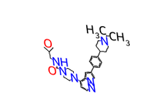 CC(C)N1CCC(c2ccc(-c3cc4c(N5CCN(C(=O)NCC6COC6)CC5)ccnn4c3)cc2)CC1